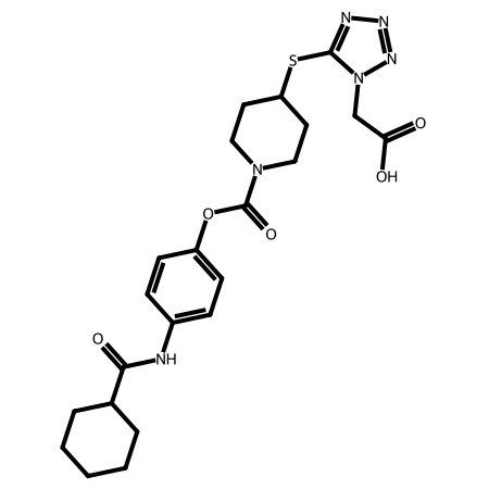 O=C(O)Cn1nnnc1SC1CCN(C(=O)Oc2ccc(NC(=O)C3CCCCC3)cc2)CC1